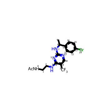 CC(=O)NCCNc1nc(NC(C)c2ccc(Br)cc2)ncc1C(F)(F)F